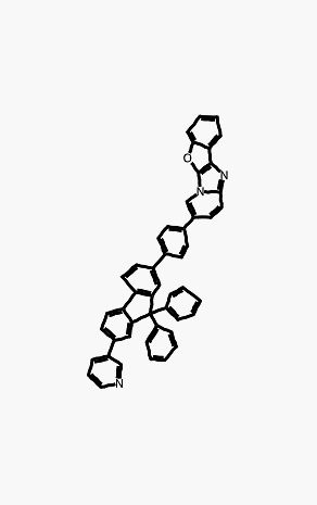 c1ccc(C2(c3ccccc3)c3cc(-c4ccc(-c5ccc6nc7c8ccccc8oc7n6c5)cc4)ccc3-c3ccc(-c4cccnc4)cc32)cc1